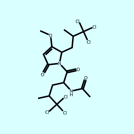 COC1=CC(=O)N(C(=O)C(CC(C)C(Cl)(Cl)Cl)NC(C)=O)C1CC(C)C(Cl)(Cl)Cl